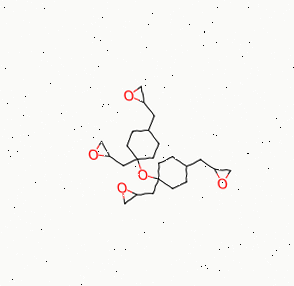 C1CC(CC2CO2)(OC2(CC3CO3)CCC(CC3CO3)CC2)CCC1CC1CO1